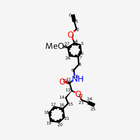 C#CCOc1ccc(CCNC(=O)[C@H](CCc2ccccc2)OCC#C)cc1OC